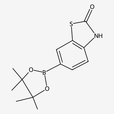 CC1(C)OB(c2ccc3[nH]c(=O)sc3c2)OC1(C)C